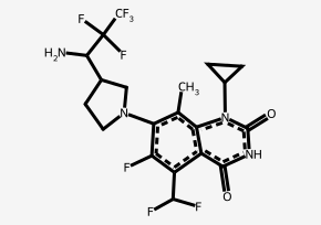 Cc1c(N2CCC(C(N)C(F)(F)C(F)(F)F)C2)c(F)c(C(F)F)c2c(=O)[nH]c(=O)n(C3CC3)c12